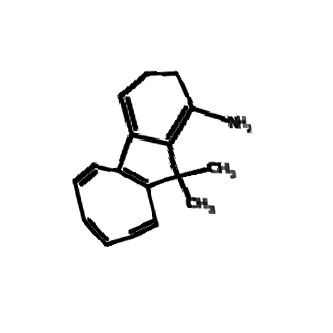 CC1(C)C2=C(/C=C\C=C/C=C2)C2=CCCC(N)=C21